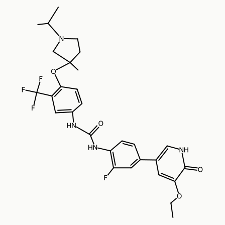 CCOc1cc(-c2ccc(NC(=O)Nc3ccc(OC4(C)CCN(C(C)C)C4)c(C(F)(F)F)c3)c(F)c2)c[nH]c1=O